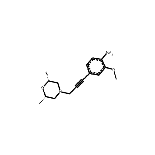 COc1cc(C#CCN2C[C@@H](C)O[C@@H](C)C2)ccc1N